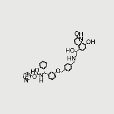 O=C(NC(c1ccccc1)c1cccc(OCc2ccc(CNCC(O)c3ccc(O)c4[nH]c(=O)ccc34)cc2)c1)O[C@H]1CN2CCC1CC2